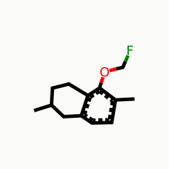 Cc1ccc2c(c1OCF)CCC(C)C2